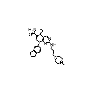 CN1CCN(CCCNc2ncc3c(=O)c(C(N)=O)cn(-c4ccc5c(c4)CCC5)c3n2)CC1